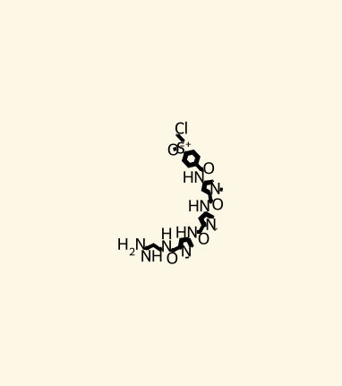 Cn1cc(NC(=O)c2cc(NC(=O)c3cc(NC(=O)c4ccc([S+]([O-])CCCl)cc4)cn3C)cn2C)cc1C(=O)NCCC(=N)N